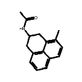 CC(=O)NC1Cc2cccc3ccc(C)c(c23)C1